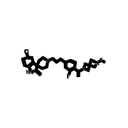 C=C(c1ccc(CCCN2CCC3(CC2)C(=C)Nc2ccc(Cl)cc23)cc1F)N1CC2(CN(SC)C2)C1